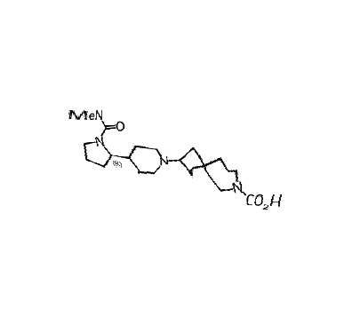 CNC(=O)N1CCC[C@@H]1C1CCN(C2CC3(CCN(C(=O)O)C3)C2)CC1